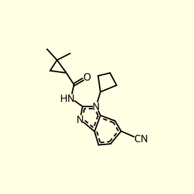 CC1(C)CC1C(=O)Nc1nc2ccc(C#N)cc2n1C1CCC1